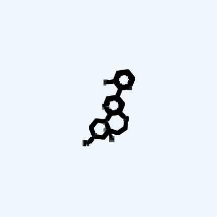 CC(C)N1CCN2c3ncc(-c4ncccc4F)cc3OCC[C@H]2C1